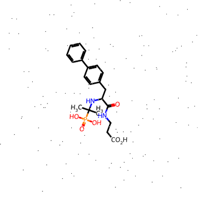 CC(C)(NC(Cc1ccc(-c2ccccc2)cc1)C(=O)NCCC(=O)O)P(=O)(O)O